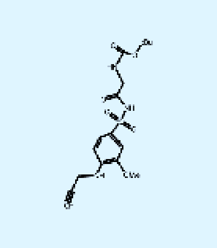 C#CCNc1ccc(S(=O)(=O)NC(=O)CNC(=O)OC(C)(C)C)cc1OC